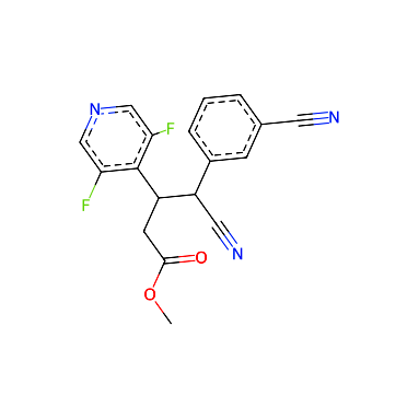 COC(=O)CC(c1c(F)cncc1F)C(C#N)c1cccc(C#N)c1